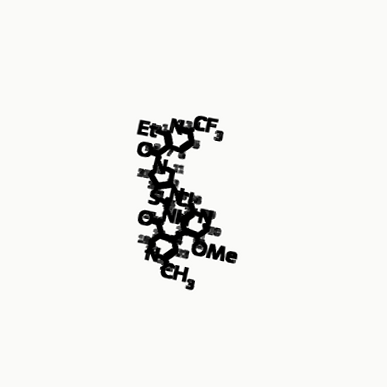 CCc1nc(C(F)(F)F)ccc1C(=O)N1Cc2nc(NC(=O)c3cnc(C)cc3-c3cc(Cl)ncc3OC)sc2C1